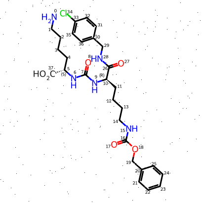 NCCCC[C@H](NC(=O)N[C@H](CCCCNC(=O)OCc1ccccc1)C(=O)NCc1ccc(Cl)cc1)C(=O)O